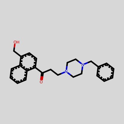 O=C(CCN1CCN(Cc2ccccc2)CC1)c1ccc(CO)c2ccccc12